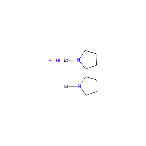 CCN1CCCC1.CCN1CCCC1.I.I